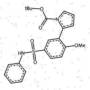 COc1ccc(S(=O)(=O)Nc2ccccc2)cc1-c1cccn1C(=O)OC(C)(C)C